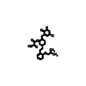 CC(C)COc1ccccc1CCC1CCN(Cc2cc(Cl)c[nH]c2=O)CC1.O=C(O)C(=O)O